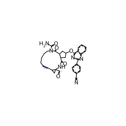 N#Cc1ccc(-c2nc(OC3CC4C(=O)NC5([C]=O)CC5/C=C/CCCCN(C(N)=O)C(=O)C4C3)c3ccccc3n2)cc1